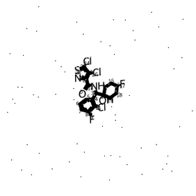 O=C(NC(c1cccc(F)c1Cl)[C@]1(O)CC[C@@H](F)CC1)c1nsc(Cl)c1Cl